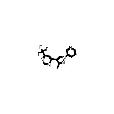 Cc1nn(-c2cccnc2)cc1-c1cc(C(F)(F)F)ncn1